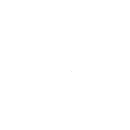 CN(C)Cc1ccc(C(=O)Nc2ccc(I)c(-c3ccccn3)c2)c(Cl)c1